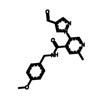 COc1ccc(CNC(=O)c2cc(C)ncc2-n2cc(C=O)cn2)cc1